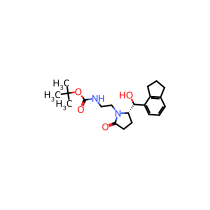 CC(C)(C)OC(=O)NCCN1C(=O)CC[C@H]1C(O)c1cccc2c1CCC2